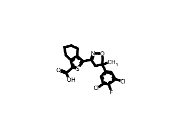 CC1(c2cc(Cl)c(F)c(Cl)c2)CC(c2sc(C(=O)O)c3c2CCCC3)=NO1